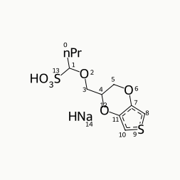 CCCC(OCC1COc2cscc2O1)S(=O)(=O)O.[NaH]